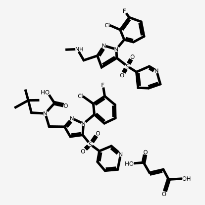 CC(C)(C)CN(Cc1cc(S(=O)(=O)c2cccnc2)n(-c2cccc(F)c2Cl)n1)C(=O)O.CNCc1cc(S(=O)(=O)c2cccnc2)n(-c2cccc(F)c2Cl)n1.O=C(O)C=CC(=O)O